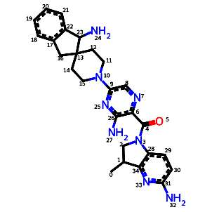 CC1CN(C(=O)c2ncc(N3CCC4(CC3)Cc3ccccc3C4N)nc2N)c2ccc(N)nc21